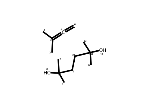 C=C=C(C)C.CC(C)(O)CCC(C)(C)O